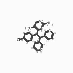 Cc1cnc(N)nc1C(c1ccc(Cl)cc1)C(c1cccnc1)c1cccnc1